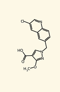 COc1nn(Cc2ccc3ncc(Cl)cc3c2)cc1C(=O)O